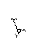 CCC(=O)CCCCCc1cc(C)cc(NC(=O)C(C)C)c1